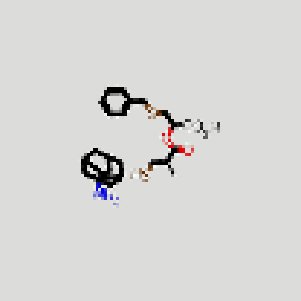 C[C@@H](CS)C(=O)OC(CSCc1ccccc1)C(=O)O.NC12CC3CC(CC(C3)C1)C2